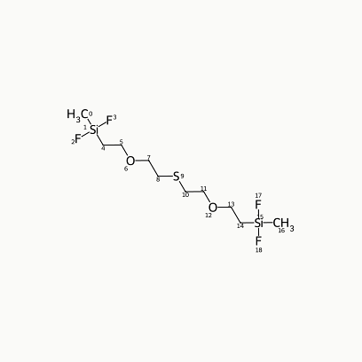 C[Si](F)(F)CCOCCSCCOCC[Si](C)(F)F